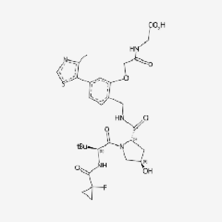 Cc1ncsc1-c1ccc(CNC(=O)[C@@H]2C[C@@H](O)CN2C(=O)[C@@H](NC(=O)C2(F)CC2)C(C)(C)C)c(OCC(=O)NCC(=O)O)c1